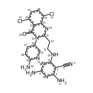 N#Cc1c(N)nc(N)nc1NCCc1nc2c(Cl)ccc(Cl)c2c(=O)n1-c1ccc(N)nc1